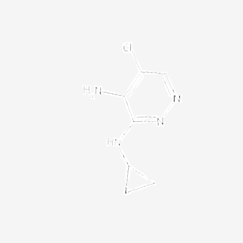 Nc1c(Cl)cnnc1NC1CC1